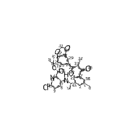 Cc1cc([C@@H](C)Nc2ccc(Cl)nc2C(=O)OC(C)(C)C)c2oc(-c3ccc4c(c3)OCO4)c(C)c(=O)c2c1